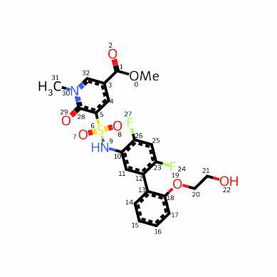 COC(=O)c1cc(S(=O)(=O)Nc2cc(-c3ccccc3OCCO)c(F)cc2F)c(=O)n(C)c1